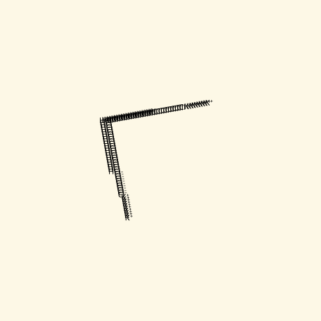 Cl.Cl.Cl.Cl.Cl.Cl.Cl.Cl.Cl.Cl.Cl.Cl.Cl.Cl.Cl.Cl.Cl.Cl.Cl.Cl.Cl.Cl.Cl.Cl.Cl.Cl.Cl.Cl.Cl.Cl.Cl.Cl.Cl.Cl.Cl.Cl.Cl.Cl.Cl.Cl.Cl.Cl.Cl.Cl.Cl.[Cl-].[Cl-].[Cl-].[Cl-].[Cl-].[Cl-].[Cl-].[Cl-].[Cl-].[Cl-].[Cl-].[Cl-].[Cl-].[Cl-].[Cl-].[Cl-].[Cl-].[Cl-].[Cl-].[Cl-].[K+].[K+].[K+].[K+].[K+].[K+].[K+].[K+].[K+].[K+].[K+].[K+].[K+].[K+].[K+].[K+].[K+].[K+].[K+].[K+]